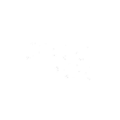 CCc1ccccc1Nc1c(C(N)=O)cnc2[nH]c(-c3ccc(O)c(OC)c3)nc12